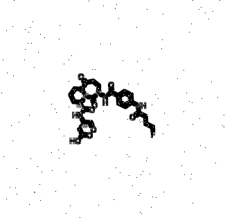 O=C[C@H](CC(=O)O)NC(=O)[C@@H]1CCCN2C(=O)CCN(NC(=O)c3ccc(NC(=O)CCCF)cc3)C(=O)N12